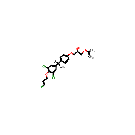 CC(C)OCC(O)COc1ccc(C(C)(C)c2cc(Cl)c(OC/C=C/Cl)c(Cl)c2)cc1